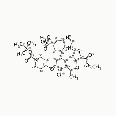 COC(=O)c1sc(-n2cnc3cc(S(C)(=O)=O)ccc32)cc1OC(C)c1cccc(OC2CCN(C(=O)OC(C)(C)C)CC2)c1Cl